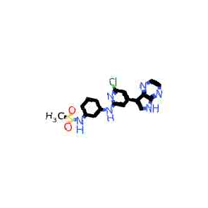 CS(=O)(=O)NC1CCCC(Nc2cc(-c3c[nH]c4nccnc34)cc(Cl)n2)C1